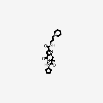 CN1C(=O)c2cc(C(=O)NCCCN3CCCCC3)nn2CC1(C)C(=O)NC1CCCC1